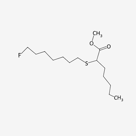 CCCCCC(SCCCCCCCF)C(=O)OC